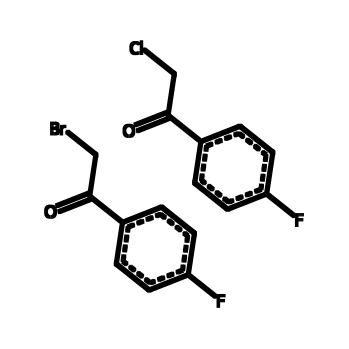 O=C(CBr)c1ccc(F)cc1.O=C(CCl)c1ccc(F)cc1